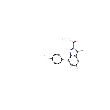 Cc1c(C(N)=O)[nH]c2c(-c3ccc(OC(F)(F)F)cc3)cc(Cl)cc12